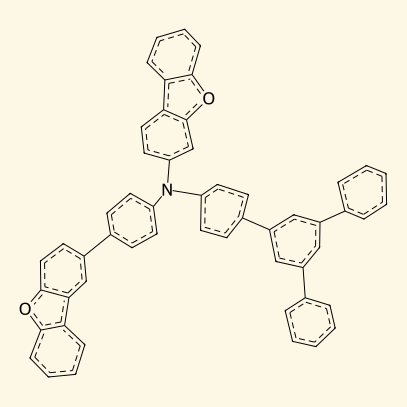 c1ccc(-c2cc(-c3ccccc3)cc(-c3ccc(N(c4ccc(-c5ccc6oc7ccccc7c6c5)cc4)c4ccc5c(c4)oc4ccccc45)cc3)c2)cc1